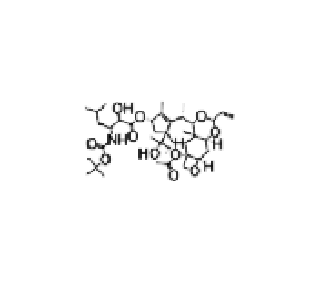 C=CC1OC2[C@@H](C)C3=C(C)[C@@H](OC(=O)[C@H](O)[C@H](CC(C)C)NC(=O)OC(C)(C)C)C[C@@]3(C(C)(C)O)[C@@H](C)[C@@H]3[C@]4(OC(C)=O)CO[C@@H]4C[C@H](O1)[C@@]23C